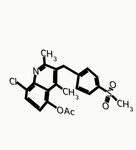 CC(=O)Oc1ccc(Cl)c2nc(C)c(Cc3ccc(S(C)(=O)=O)cc3)c(C)c12